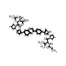 COC(=O)N[C@H](C(=O)N1CCC[C@H]1c1nc(-c2ccc(-c3cnc4cc(-c5cnc([C@@H]6CCCN6C(=O)[C@H](CC(C)C)N(C)C(=O)O)[nH]5)ccc4n3)cc2)c[nH]1)C(C)C